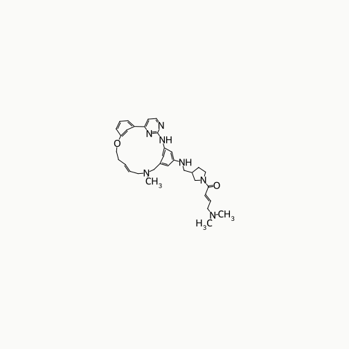 CN(C)C/C=C/C(=O)N1CCC(CNc2cc3cc(c2)Nc2nccc(n2)-c2cccc(c2)OCC/C=C/CN(C)C3)C1